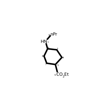 CCCNC1CCC(C(=O)OCC)CC1